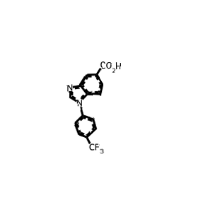 O=C(O)c1ccc2c(c1)ncn2-c1ccc(C(F)(F)F)cc1